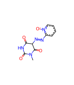 CN1C(=O)NC(=O)C(N=Nc2cccc[n+]2[O-])C1=O